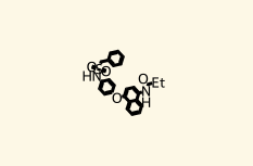 CCC(=O)Nc1ccc(Oc2ccc(NS(=O)(=O)Cc3ccccc3)cc2)c2ccccc12